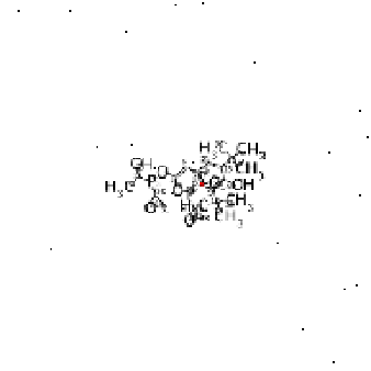 CC(O)P(O/C(=C/c1cc(C(C)(C)C)c(O)c(C(C)(C)C)c1)OP(C1CO1)C1CO1)C1CO1